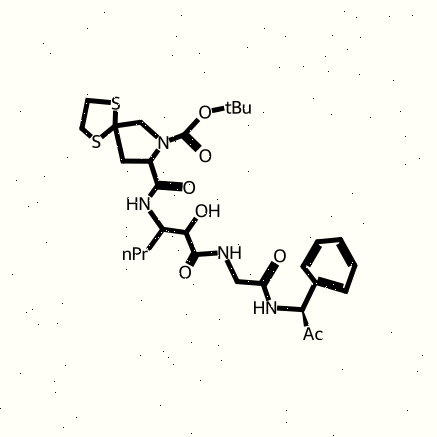 CCCC(NC(=O)C1CC2(CN1C(=O)OC(C)(C)C)SCCS2)C(O)C(=O)NCC(=O)N[C@H](C(C)=O)c1ccccc1